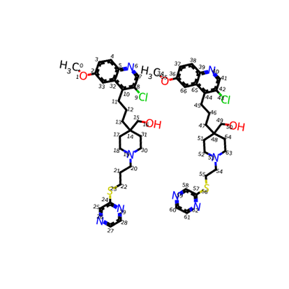 COc1ccc2ncc(Cl)c(CCCC3(CO)CCN(CCCSc4cnccn4)CC3)c2c1.COc1ccc2ncc(Cl)c(CCCC3(CO)CCN(CCSc4cnccn4)CC3)c2c1